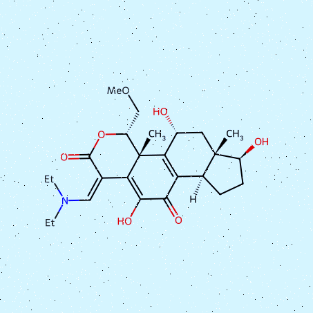 CCN(C=C1C(=O)O[C@H](COC)[C@@]2(C)C1=C(O)C(=O)C1=C2[C@H](O)C[C@]2(C)[C@@H](O)CC[C@@H]12)CC